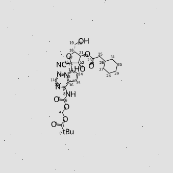 CC(C)(C)C(=O)OCOC(=O)Nc1ncnn2c([C@]3(C#N)O[C@H](CO)[C@@H](OC(=O)CC4CCCCC4)[C@H]3O)ccc12